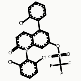 O=c1ccc2c(-c3ccccc3Cl)cc(OS(=O)(=O)C(F)(F)F)cc2n1-c1c(Cl)cccc1Cl